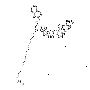 CCCCCCCCCCCCCCCCCCOC[C@H](COP(=O)(O)OC[C@H]1O[C@@](C#N)(c2ccc3c(N)ncnn23)[C@H](O)[C@@H]1O)OCc1ccc2ccccc2n1